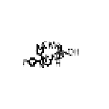 COc1cc(-c2c(-c3ccc(F)cc3)nc3ccc(N4C[C@@H]5C[C@H]4CN5CCO)nn23)ccn1